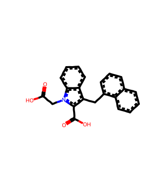 O=C(O)Cn1c(C(=O)O)c(Cc2cccc3ccccc23)c2ccccc21